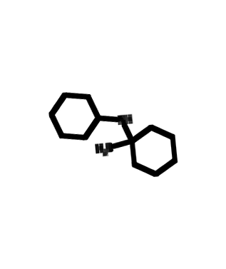 BC1(NC2CCCCC2)CCCCC1